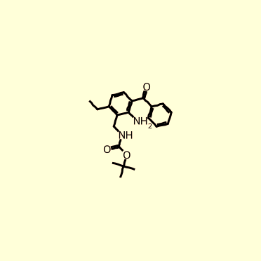 CCc1ccc(C(=O)c2ccccc2)c(N)c1CNC(=O)OC(C)(C)C